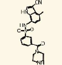 Cc1ccc(NS(=O)(=O)c2cccc(C(=O)N3CCNCC3)c2)c2[nH]cc(C#N)c12